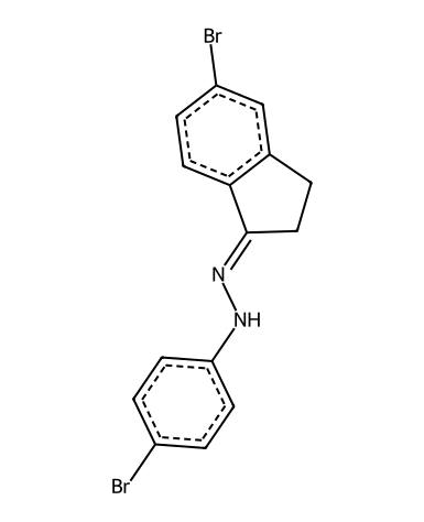 Brc1ccc(N/N=C2\CCc3cc(Br)ccc32)cc1